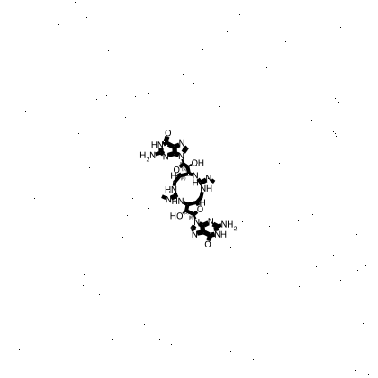 CN=C1NC[C@H]2O[C@@H](n3cnc4c(=O)[nH]c(N)nc43)[C@@H](O)C2NC(=NC)NC[C@H]2O[C@@H](n3cnc4c(=O)[nH]c(N)nc43)[C@@H](O)C2N1